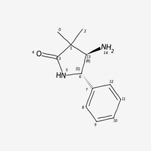 CC1(C)C(=O)N[C@@H](c2ccccc2)[C@@H]1N